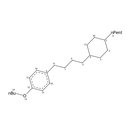 CCCCCC1CCC(CCCCc2ccc(OCCCC)cc2)CC1